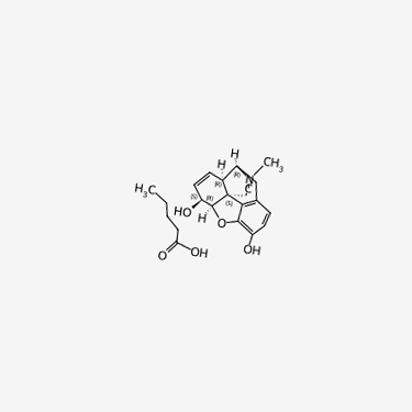 CCCCC(=O)O.CN1CC[C@]23c4c5ccc(O)c4O[C@H]2[C@@H](O)C=C[C@H]3[C@H]1C5